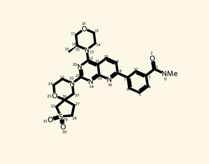 CNC(=O)c1cccc(-c2ccc3c(N4CCOC[C@@H]4C)nc(N4CCOC5(CCS(=O)(=O)C5)C4)nc3n2)c1